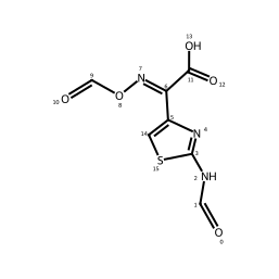 O=CNc1nc(/C(=N\OC=O)C(=O)O)cs1